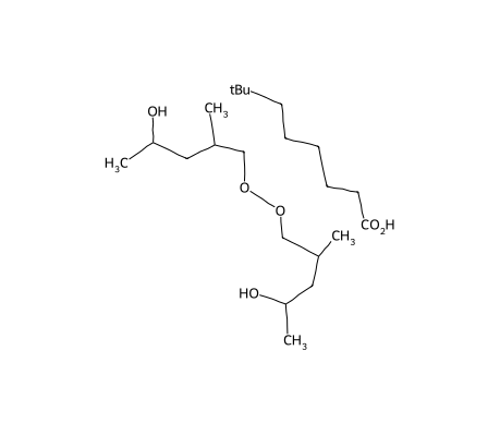 CC(C)(C)CCCCCC(=O)O.CC(O)CC(C)COOCC(C)CC(C)O